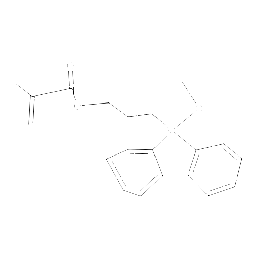 C=C(C)C(=O)OCCC[Si](OC)(c1ccccc1)c1ccccc1